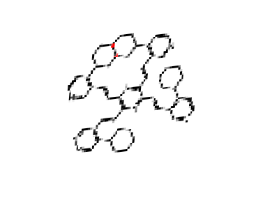 C(=Cc1nc(C=Cc2cnccc2C2CCCCC2)c(C=Cc2cnccc2C2CCCCC2)nc1C=Cc1cnccc1C1CCCCC1)c1cnccc1C1CCCCC1